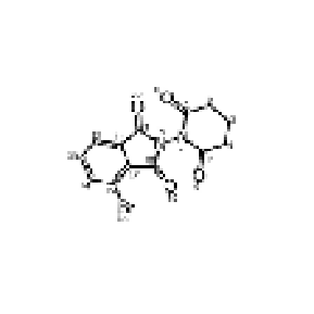 O=C1CCCC(=O)N1N1C(=O)c2cccc(Br)c2C1=O